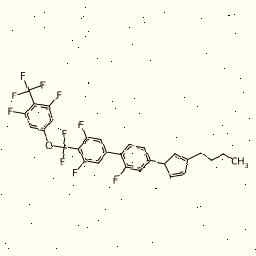 CCCCC1=CC(c2ccc(-c3cc(F)c(C(F)(F)Oc4cc(F)c(C(F)(F)F)c(F)c4)c(F)c3)c(F)c2)C=C1